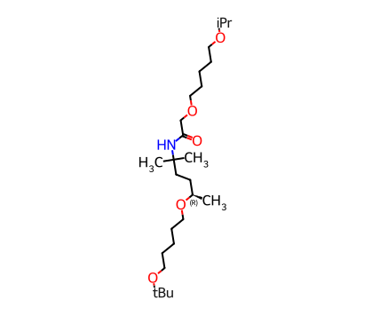 CC(C)OCCCCCOCC(=O)NC(C)(C)CC[C@@H](C)OCCCCCOC(C)(C)C